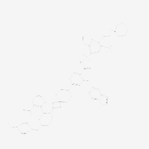 COc1ccc(CN2CCN(C3CC4(CCN(c5cc(Oc6cnc7[nH]ccc7c6)c(C(=O)NS(=O)(=O)c6cc([N+](=O)[O-])c(NCC7(F)CCOCC7)c7c6OCO7)cn5)CC4)C3)C(c3ccccc3C(C)C)C2)cc1